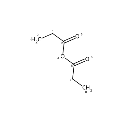 [CH2]CC(=O)OC(=O)CC